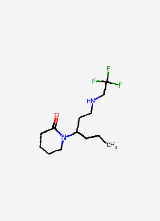 CCCC(CCNCC(F)(F)F)N1CCCCC1=O